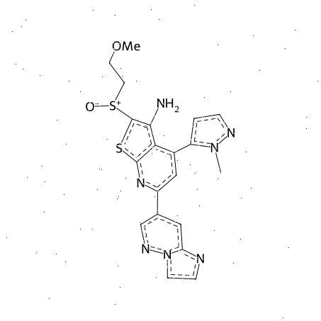 COCC[S+]([O-])c1sc2nc(-c3cnn4ccnc4c3)cc(-c3ccnn3C)c2c1N